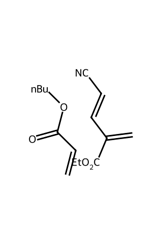 C=C(C=CC#N)C(=O)OCC.C=CC(=O)OCCCC